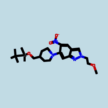 COCCn1cc2cc([N+](=O)[O-])c(N3CCC(CO[Si](C)(C)C(C)(C)C)CC3)cc2n1